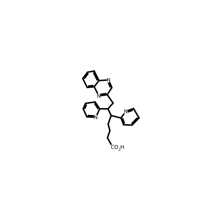 O=C(O)CCCC(c1ccccn1)C(Cc1cnc2ccccc2n1)c1ccccn1